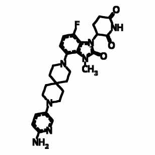 Cn1c(=O)n(C2CCC(=O)NC2=O)c2c(F)ccc(N3CCC4(CCN(c5ccc(N)nc5)CC4)CC3)c21